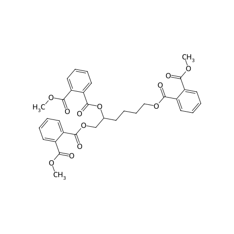 COC(=O)c1ccccc1C(=O)OCCCCC(COC(=O)c1ccccc1C(=O)OC)OC(=O)c1ccccc1C(=O)OC